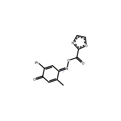 CC1=CC(=O)C(C(C)C)=C/C1=N\OC(=O)c1ncco1